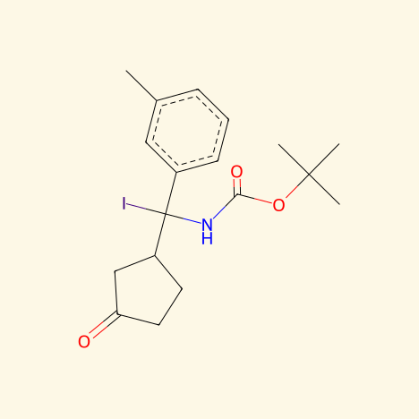 Cc1cccc(C(I)(NC(=O)OC(C)(C)C)C2CCC(=O)C2)c1